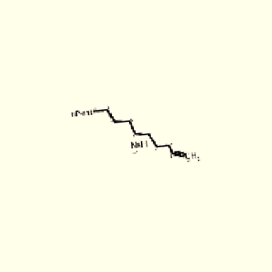 C=CCCCCCCCCCCCC.[NaH]